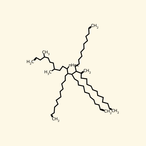 C=CCCCCCCCCCCC(=C)C(CCCCCCCCCCC=C)C(CCCCCCCCCCC=C)C(CCCCCCCCCCC=C)C(CCCCCC)CCC(C)CCCC(C)CC=C